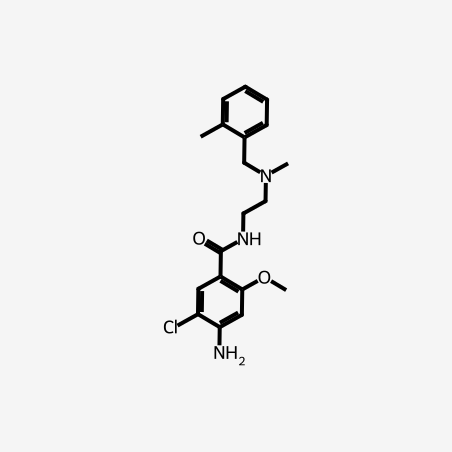 COc1cc(N)c(Cl)cc1C(=O)NCCN(C)Cc1ccccc1C